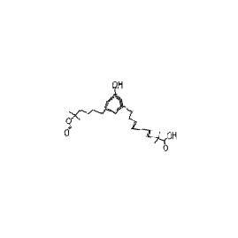 CC(C)(CCCCc1cc(O)cc(CCCCCCC(C)(C)C(=O)O)c1)OC=O